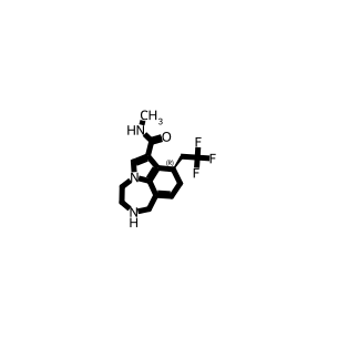 CNC(=O)c1cn2c3c1[C@@H](CC(F)(F)F)CC=C3CNCC2